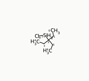 CCC(CC)(CC)[SiH2]Cl